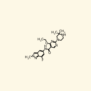 CCOc1nc(N2CCNC(C)(C)C2)ncc1C(=O)Nc1cc(F)c2nn(C)cc2c1